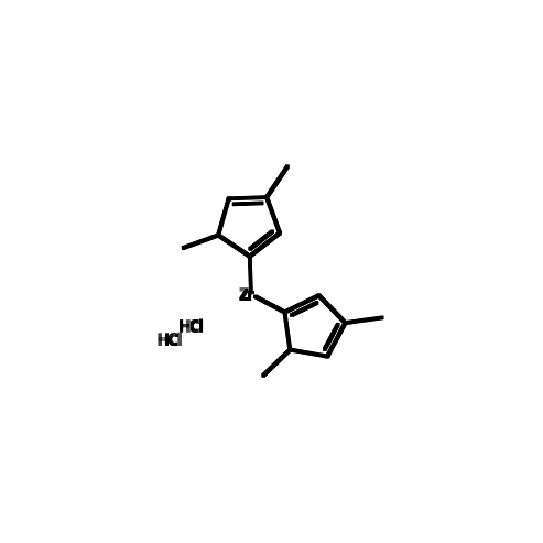 CC1=CC(C)[C]([Zr][C]2=CC(C)=CC2C)=C1.Cl.Cl